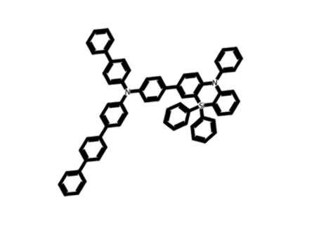 c1ccc(-c2ccc(-c3ccc(N(c4ccc(-c5ccccc5)cc4)c4ccc(-c5ccc6c(c5)[Si](c5ccccc5)(c5ccccc5)c5ccccc5N6c5ccccc5)cc4)cc3)cc2)cc1